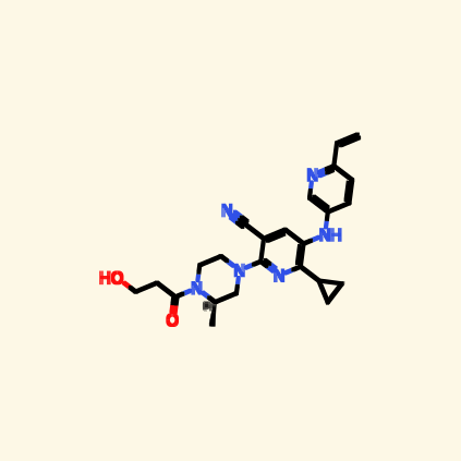 C=Cc1ccc(Nc2cc(C#N)c(N3CCN(C(=O)CCO)[C@H](C)C3)nc2C2CC2)cn1